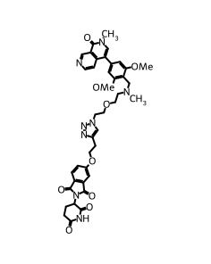 COc1cc(-c2cn(C)c(=O)c3cnccc23)cc(OC)c1CN(C)CCOCCn1cc(CCOc2ccc3c(c2)C(=O)N(C2CCC(=O)NC2=O)C3=O)nn1